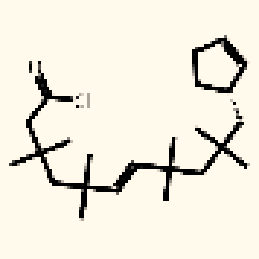 CC(C)(/C=C/C(C)(C)CC(C)(C)C[C@H]1C=CCC1)CC(C)(C)CC(=O)Cl